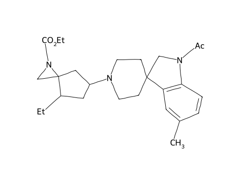 CCOC(=O)N1CC12CC(N1CCC3(CC1)CN(C(C)=O)c1ccc(C)cc13)CC2CC